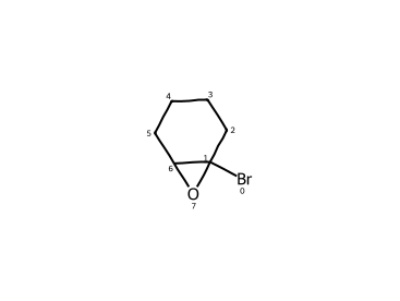 BrC12CCCCC1O2